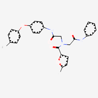 CC(C)c1ccc(Oc2ccc(NC(=O)CN(CC(=O)Nc3ccccc3)C(=O)c3ccc(C(F)(F)F)o3)cc2)cc1